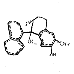 CC1(c2cccc3ccccc23)NCCc2cc(O)c(O)cc21